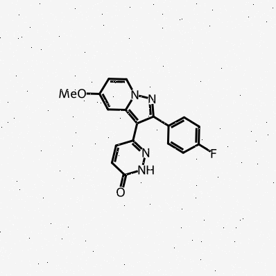 COc1ccn2nc(-c3ccc(F)cc3)c(-c3ccc(=O)[nH]n3)c2c1